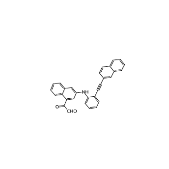 O=CC(=O)c1cc(Nc2ccccc2C#Cc2ccc3ccccc3c2)cc2ccccc12